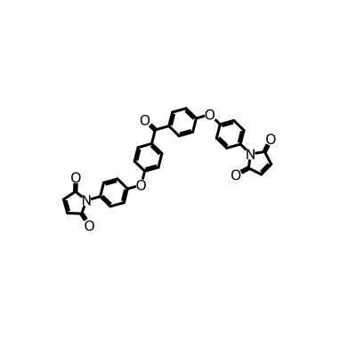 O=C(c1ccc(Oc2ccc(N3C(=O)C=CC3=O)cc2)cc1)c1ccc(Oc2ccc(N3C(=O)C=CC3=O)cc2)cc1